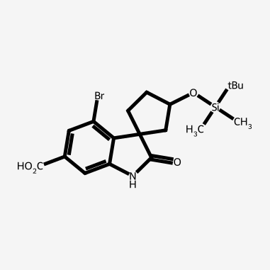 CC(C)(C)[Si](C)(C)OC1CCC2(C1)C(=O)Nc1cc(C(=O)O)cc(Br)c12